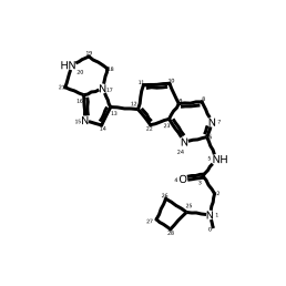 CN(CC(=O)Nc1ncc2ccc(-c3cnc4n3CCNC4)cc2n1)C1CCC1